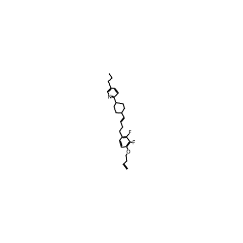 C=CCCOc1ccc(CC/C=C/C2CCC(c3ccc(CCC)cn3)CC2)c(F)c1F